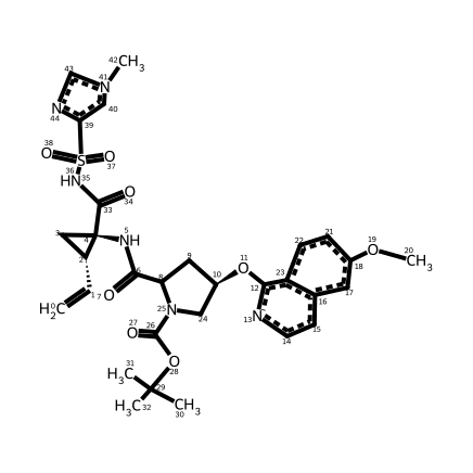 C=C[C@@H]1C[C@]1(NC(=O)C1C[C@@H](Oc2nccc3cc(OC)ccc23)CN1C(=O)OC(C)(C)C)C(=O)NS(=O)(=O)c1cn(C)cn1